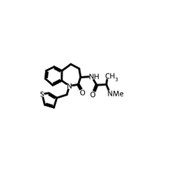 CNC(C)C(=O)NC1CCc2ccccc2N(Cc2ccsc2)C1=O